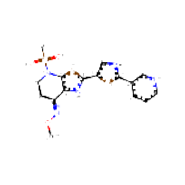 CCCO/N=C1\CCN(S(C)(=O)=O)c2sc(-c3cnc(-c4cccnc4)s3)nc21